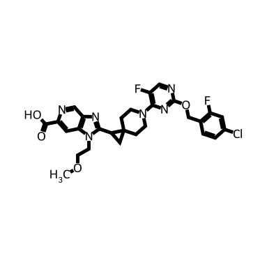 COCCn1c(C2CC23CCN(c2nc(OCc4ccc(Cl)cc4F)ncc2F)CC3)nc2cnc(C(=O)O)cc21